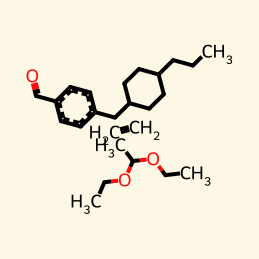 C=C.CCCC1CCC(Cc2ccc(C=O)cc2)CC1.CCOC(C)OCC